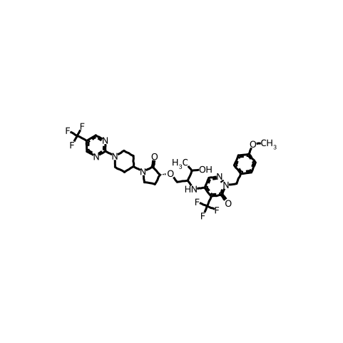 COc1ccc(Cn2ncc(NC(CO[C@@H]3CCN(C4CCN(c5ncc(C(F)(F)F)cn5)CC4)C3=O)C(C)O)c(C(F)(F)F)c2=O)cc1